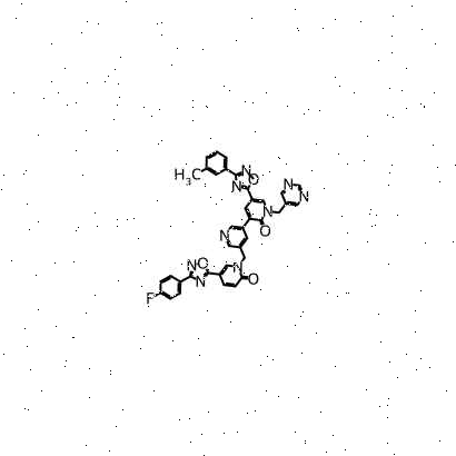 Cc1cccc(-c2noc(-c3cc(-c4cncc(Cn5cc(-c6nc(-c7ccc(F)cc7)no6)ccc5=O)c4)c(=O)n(Cc4cncnc4)c3)n2)c1